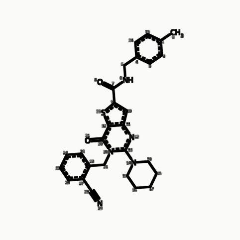 Cc1ccc(CNC(=O)c2cc3nc(N4CCCCC4)n(Cc4ccccc4C#N)c(=O)c3s2)cc1